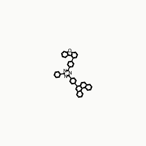 c1ccc(-c2nc(-c3ccc(-c4cc5ccccc5c5c4ccc4ccccc45)cc3)nc(-c3ccc(-c4cccc5oc6ccccc6c45)cc3)n2)cc1